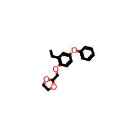 CCc1cc(Oc2ccccc2)ccc1OCC1OCCO1